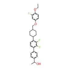 CCOc1ccc(OCC2CCC(c3ccc(-c4ccc(C(C)O)cc4)c(F)c3F)CC2)cc1F